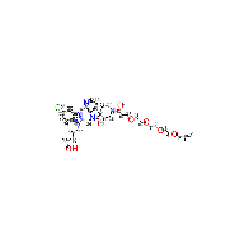 C#CCOCCOCCOCCOCCC(=O)N1CCC2(CC1)C(=O)N(Cc1nc3cc(Cl)ccc3n1CCCCO)c1cnccc12